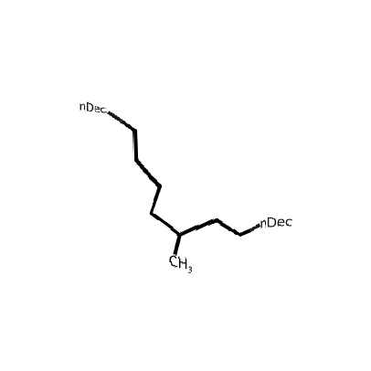 [CH2]CCCCCCCCCCCCCC(C)CCCCCCCCCCC[CH2]